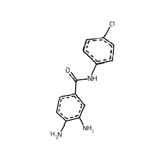 Nc1ccc(C(=O)Nc2ccc(Cl)cc2)cc1N